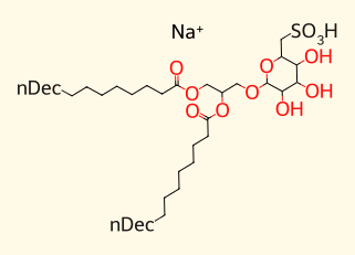 CCCCCCCCCCCCCCCCCC(=O)OCC(COC1OC(CS(=O)(=O)O)C(O)C(O)C1O)OC(=O)CCCCCCCCCCCCCCCCC.[Na+]